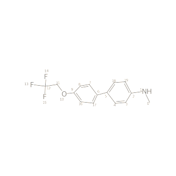 CNc1ccc(-c2ccc(OCC(F)(F)F)cc2)cc1